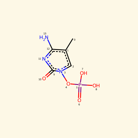 Cc1cn(OP(=O)(O)O)c(=O)nc1N